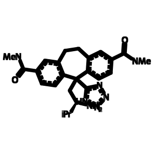 CNC(=O)c1ccc2c(c1)CCc1cc(C(=O)NC)ccc1C2(C[C@@H](N)C(C)C)c1nnn[nH]1